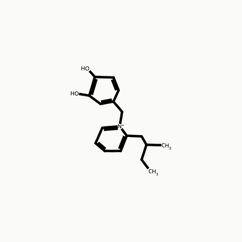 CCC(C)Cc1cccc[n+]1Cc1ccc(O)c(O)c1